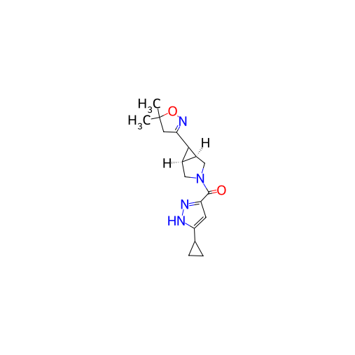 CC1(C)CC(C2[C@H]3CN(C(=O)c4cc(C5CC5)[nH]n4)C[C@@H]23)=NO1